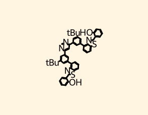 CC(C)(C)c1cc(-c2cc(-c3cc(-c4cccc5sc(-c6ccccc6O)nc45)cc(C(C)(C)C)c3)ncn2)cc(-c2cccc3sc(-c4ccccc4O)nc23)c1